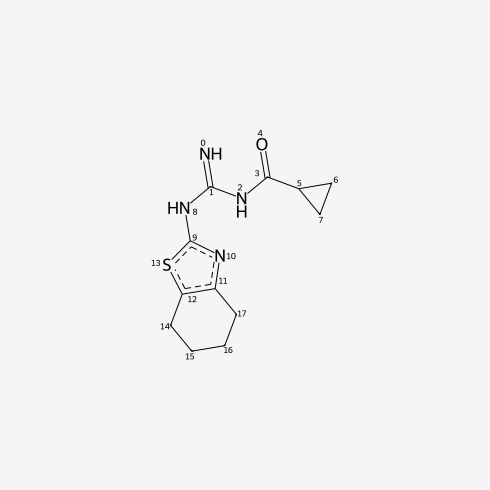 N=C(NC(=O)C1CC1)Nc1nc2c(s1)CCCC2